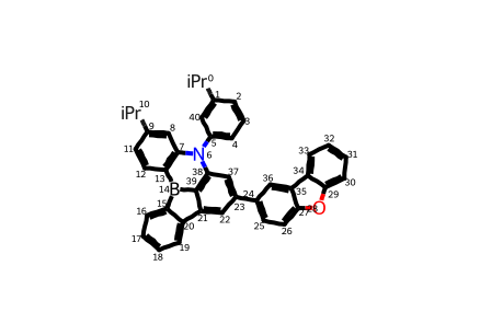 CC(C)c1cccc(N2c3cc(C(C)C)ccc3B3c4ccccc4-c4cc(-c5ccc6oc7ccccc7c6c5)cc2c43)c1